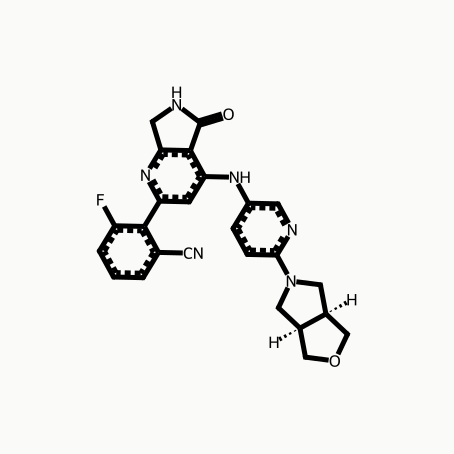 N#Cc1cccc(F)c1-c1cc(Nc2ccc(N3C[C@H]4COC[C@H]4C3)nc2)c2c(n1)CNC2=O